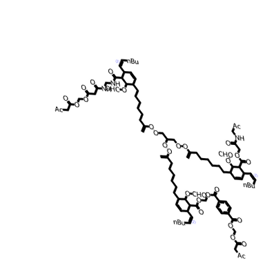 C=C(CCCCCCC1C=CC(/C=C\CCCC)C(C(=O)NCNC(=O)CC(=O)OCOC(=O)CC(C)=O)C1OC=O)OOCC(COOC(=C)CCCCCCC1C=CC(/C=C\CCCC)C(C(=O)OCC(=O)NCC(C)=O)C1OC=O)OOC(=C)CCCCCCC1C=CC(/C=C\CCCC)C(C(=O)OCOC(=O)c2ccc(C(=O)OCOC(=O)CC(C)=O)cc2)C1OC=O